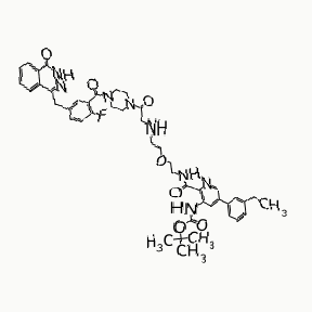 CCc1cccc(-c2cnc(C(=O)NCCOCCNCC(=O)N3CCN(C(=O)c4cc(Cc5n[nH]c(=O)c6ccccc56)ccc4F)CC3)c(NC(=O)OC(C)(C)C)c2)c1